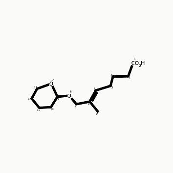 CC(=CCCCC(=O)O)COC1CCCCO1